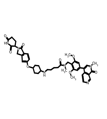 COc1cc(-c2cn(C)c(=O)c3cnccc23)cc(OC)c1CN(C)C(=O)CCCCNC1CCC(Oc2ccc3c(c2)CN(C2CCC(=O)NC2=O)C3=O)CC1